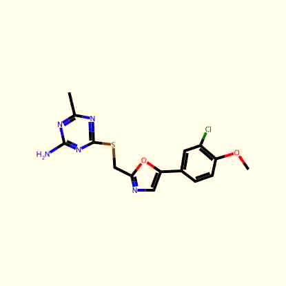 COc1ccc(-c2cnc(CSc3nc(C)nc(N)n3)o2)cc1Cl